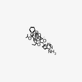 CCC(=O)O[C@H]1[C@H](c2ccc3c(N)ncnn23)O[C@]2(C)C(O[P@@](=O)(N[C@@H](C)C(=O)OC(C)C)Oc3ccccc3)[C@]12O